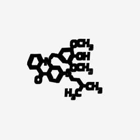 COc1cc(Cn2c3ccccc3c(=O)c3ccc(SCCC(C)C)cc32)cc(OC)c1O